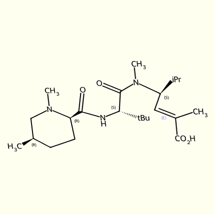 C/C(=C\[C@H](C(C)C)N(C)C(=O)[C@@H](NC(=O)[C@H]1CC[C@@H](C)CN1C)C(C)(C)C)C(=O)O